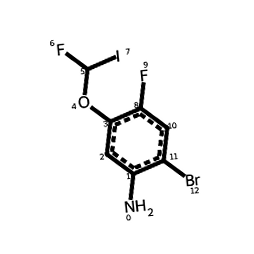 Nc1cc(OC(F)I)c(F)cc1Br